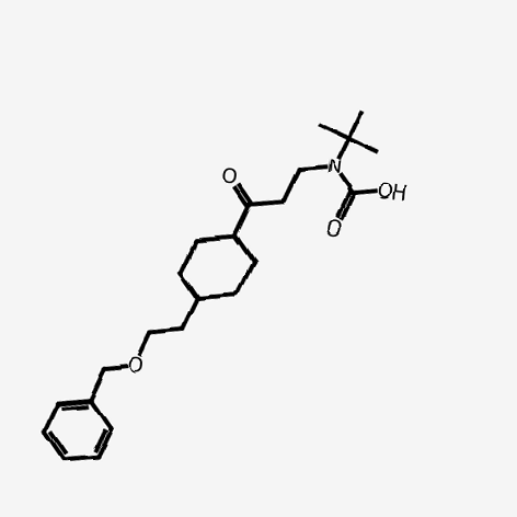 CC(C)(C)N(CCC(=O)C1CCC(CCOCc2ccccc2)CC1)C(=O)O